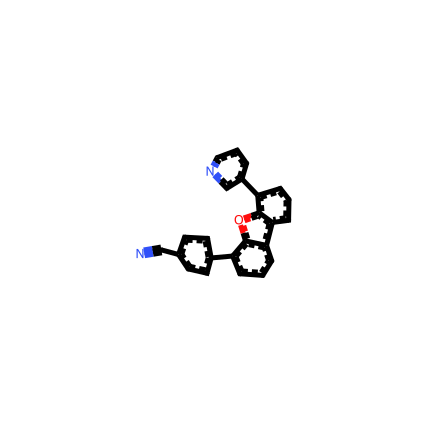 N#Cc1ccc(-c2cccc3c2oc2c(-c4cccnc4)cccc23)cc1